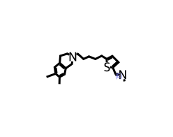 C/N=C/c1ccc(CCCCCN2CCc3cc(C)c(C)cc3C2)s1